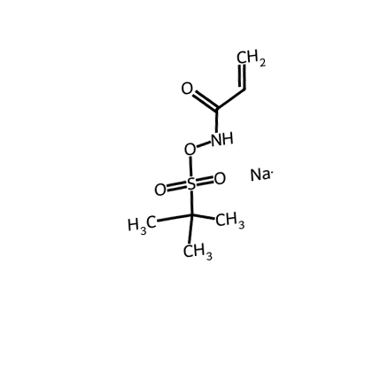 C=CC(=O)NOS(=O)(=O)C(C)(C)C.[Na]